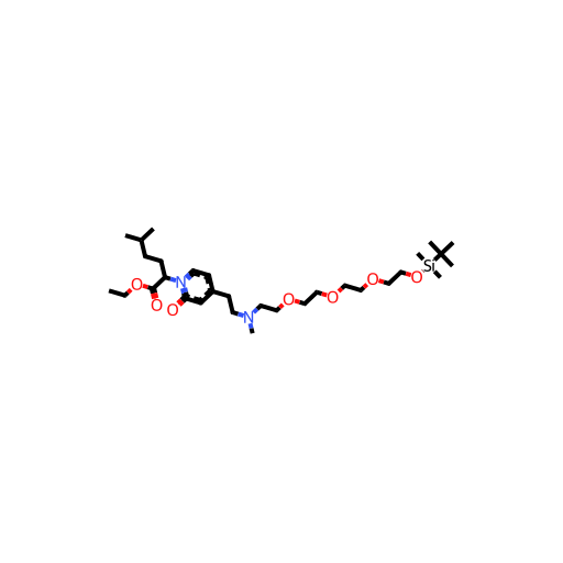 CCOC(=O)C(CCC(C)C)n1ccc(CCN(C)CCOCCOCCOCCO[Si](C)(C)C(C)(C)C)cc1=O